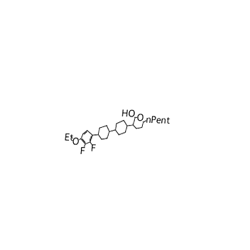 CCCCCC1CCC(C2CCC(C3CCC(c4ccc(OCC)c(F)c4F)CC3)CC2)C(O)O1